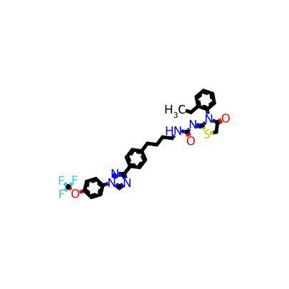 CCc1ccccc1N1C(=O)CSC1=NC(=O)NCCCCc1ccc(-c2ncn(-c3ccc(OC(F)(F)F)cc3)n2)cc1